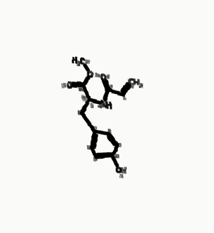 C=CC(=O)N[C@@H](Cc1ccc(O)cc1)C(=O)OC